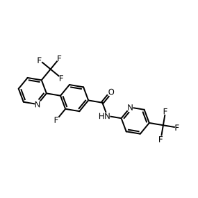 O=C(Nc1ccc(C(F)(F)F)cn1)c1ccc(-c2ncccc2C(F)(F)F)c(F)c1